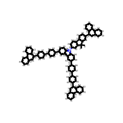 CC1(C)c2cc(-c3cc4ccccc4c4ccccc34)ccc2-c2ccc(-n3c4ccc(-c5ccc(-c6ccc(-c7cc8ccccc8c8ccccc78)cc6)cc5)cc4c4cc(-c5ccc(-c6ccc(-c7cc8ccccc8c8ccccc78)cc6)cc5)ccc43)cc21